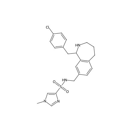 Cn1cnc(S(=O)(=O)NCc2ccc3c(c2)C(Cc2ccc(Cl)cc2)NCCC3)c1